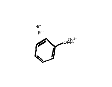 COc1ccccc1.[Br-].[Br-].[Os+2]